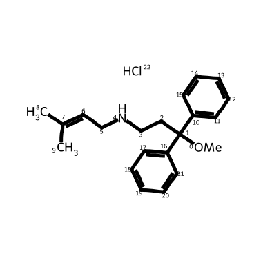 COC(CCNCC=C(C)C)(c1ccccc1)c1ccccc1.Cl